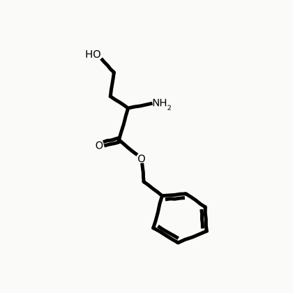 NC(CCO)C(=O)OCc1ccccc1